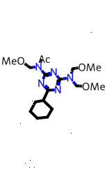 COCN(COC)c1nc(C2CCCCC2)nc(N(COC)C(C)=O)n1